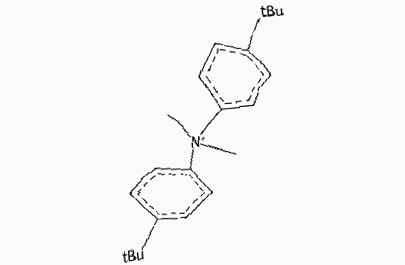 CC(C)(C)c1ccc([N+](C)(C)c2ccc(C(C)(C)C)cc2)cc1